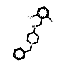 Nc1cccc(Cl)c1CNC1CCN(Cc2ccccc2)CC1